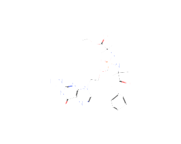 C=CN(CCOCP(=O)(NC(C)(C)C(=O)OCC)NC(C)(C)C(=O)Oc1ccccc1)c1nc(N)[nH]c(=O)c1N